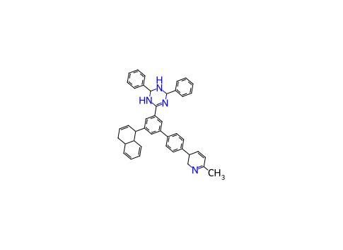 CC1=NCC(c2ccc(-c3cc(C4=NC(c5ccccc5)NC(c5ccccc5)N4)cc(C4C=CCC5C=CC=CC54)c3)cc2)C=C1